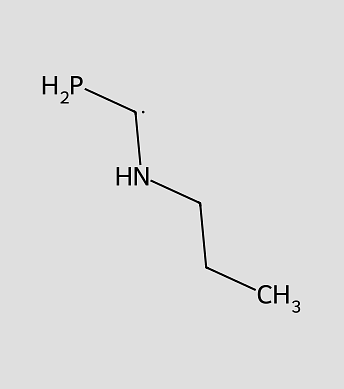 CCCN[CH]P